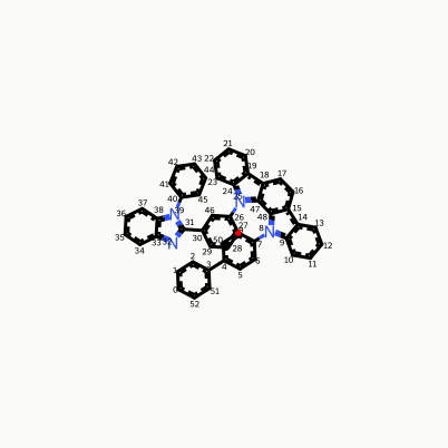 c1ccc(-c2ccc(-n3c4ccccc4c4ccc5c6ccccc6n(-c6cccc(-c7nc8ccccc8n7-c7ccccc7)c6)c5c43)cc2)cc1